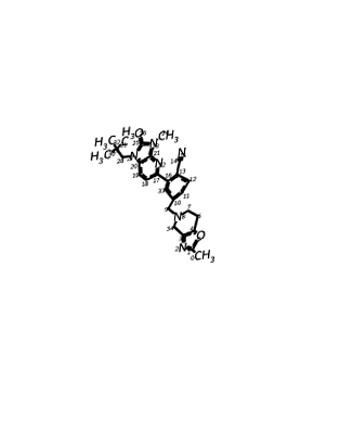 Cc1nc2c(o1)CCN(Cc1ccc(C#N)c(-c3ccc4c(n3)n(C)c(=O)n4CC(C)(C)C)c1)C2